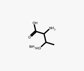 CC(O)C(N)C(=O)O.[BiH3]